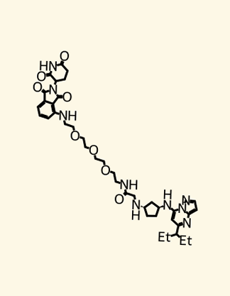 CCC(CC)c1cc(N[C@H]2CC[C@H](NCC(=O)NCCOCCOCCOCCNc3cccc4c3C(=O)N(C3CCC(=O)NC3=O)C4=O)C2)n2nccc2n1